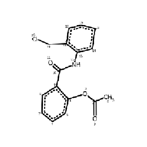 CC(=O)Oc1ccccc1C(=O)Nc1ccccc1CCl